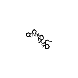 C=C(c1cccc(C(C)(C)c2cccc(-c3ccccc3C)n2)n1)c1sc2ccccc2c1/C=C\CC